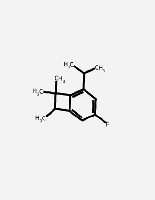 CC(C)c1cc(F)cc2c1C(C)(C)C2C